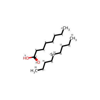 CCCCCCCC(=O)O.CCC[CH2][Sn][CH2]CCC